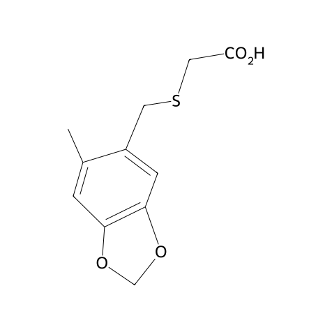 Cc1cc2c(cc1CSCC(=O)O)OCO2